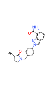 [2H]C1CCN(Cc2ccc(-n3cc4cccc(C(N)=O)c4n3)cc2)C1=O